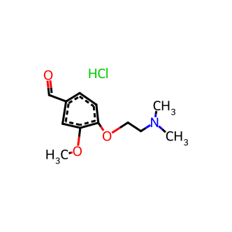 COc1cc(C=O)ccc1OCCN(C)C.Cl